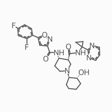 O=C(N[C@H]1CCN([C@@H]2CCCC[C@H]2O)C[C@@H]1C(=O)NC1(c2ncccn2)CC1)c1cc(-c2ccc(F)cc2F)on1